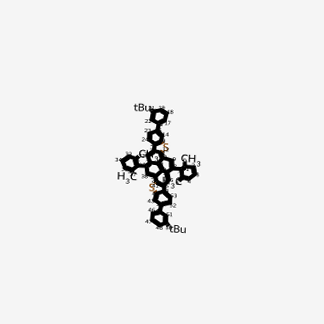 Cc1cccc(C)c1-c1cc2c3sc4cc(-c5cccc(C(C)(C)C)c5)ccc4c3cc3c(-c4c(C)cccc4C)cc4c5sc6cc(-c7cccc(C(C)(C)C)c7)ccc6c5cc1c4c32